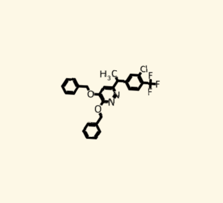 CC(c1ccc(C(F)(F)F)c(Cl)c1)c1cc(OCc2ccccc2)c(OCc2ccccc2)nn1